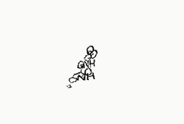 O=C(NC1C=CS(=O)(=O)C1)c1cc2ccc(C34CC(C3)C4)cc2[nH]c1=O